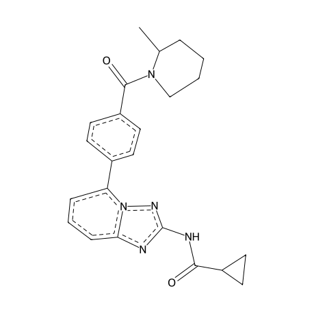 CC1CCCCN1C(=O)c1ccc(-c2cccc3nc(NC(=O)C4CC4)nn23)cc1